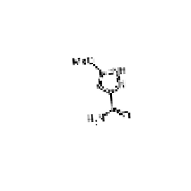 COc1cc(C(N)=O)n[nH]1